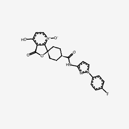 O=C1O[C@]2(CC[C@H](C(=O)Nc3ccn(-c4ccc(F)cc4)n3)CC2)c2c1c(O)cc[n+]2[O-]